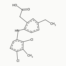 CCc1ccc(Nc2ccc(Cl)c(C)c2Cl)c(CC(=O)O)c1